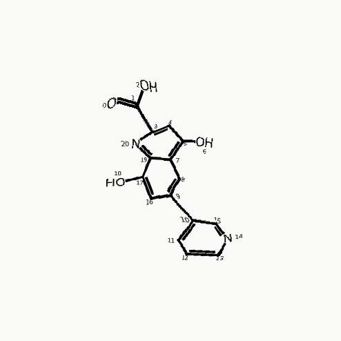 O=C(O)c1cc(O)c2cc(-c3cccnc3)cc(O)c2n1